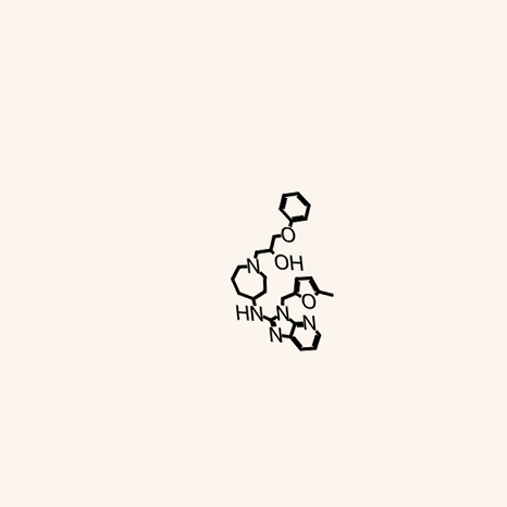 Cc1ccc(Cn2c(NC3CCCN(CC(O)COc4ccccc4)CC3)nc3cccnc32)o1